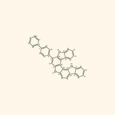 c1cncc(-c2ccc(-c3cc4oc5ccc6c7ccccc7oc6c5c4c4c3oc3ccccc34)cc2)c1